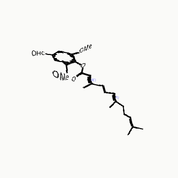 COc1cc(C=O)cc(OC)c1OC(=O)/C=C(\C)CC/C=C(\C)CCC=C(C)C